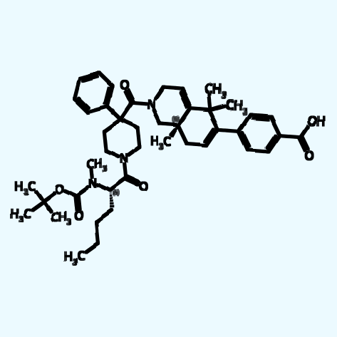 CCCC[C@@H](C(=O)N1CCC(C(=O)N2CC=C3C(C)(C)C(c4ccc(C(=O)O)cc4)=CC[C@]3(C)C2)(c2ccccc2)CC1)N(C)C(=O)OC(C)(C)C